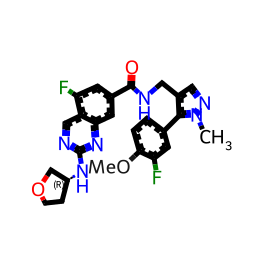 COc1ccc(-c2c(CNC(=O)c3cc(F)c4cnc(N[C@@H]5CCOC5)nc4c3)cnn2C)cc1F